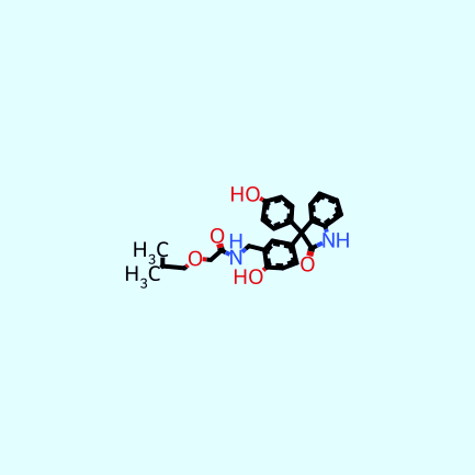 CC(C)COCC(=O)NCc1cc(C2(c3ccc(O)cc3)C(=O)Nc3ccccc32)ccc1O